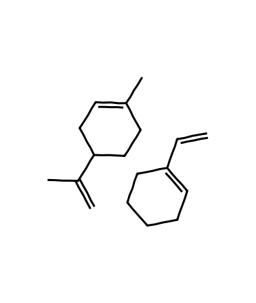 C=C(C)C1CC=C(C)CC1.C=CC1=CCCCC1